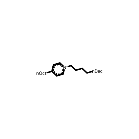 CCCCCCCCCCCCCC[n+]1ccc(CCCCCCCC)cc1